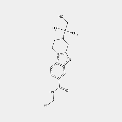 CC(C)CNC(=O)c1ccc2c(c1)nc1n2CCN(C(C)(C)CO)C1